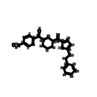 O=C(c1ccc([N+](=O)[O-])cc1)N1CCCC(Nc2ncc(SCc3cccnc3)s2)C1